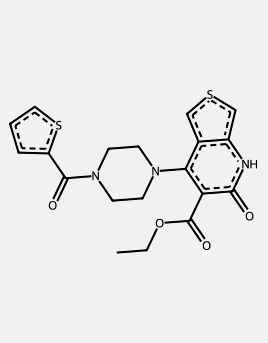 CCOC(=O)c1c(N2CCN(C(=O)c3cccs3)CC2)c2cscc2[nH]c1=O